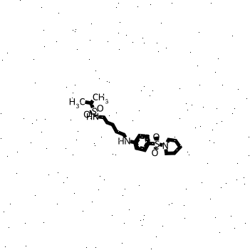 CC(C)S(=O)(=O)NCCCCCNc1ccc(S(=O)(=O)N2CCCCC2)cc1